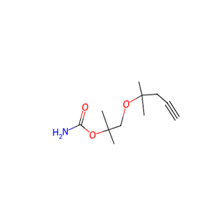 C#CCC(C)(C)OCC(C)(C)OC(N)=O